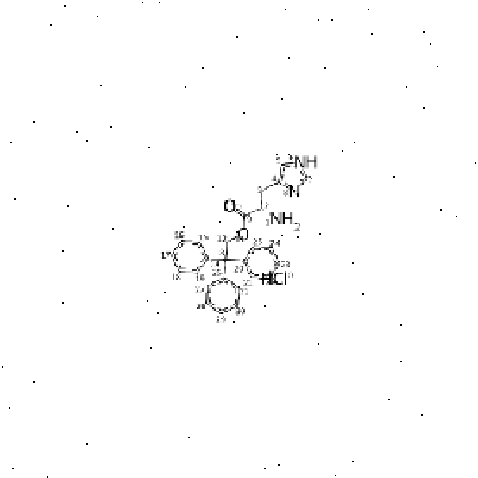 Cl.N[C@@H](Cc1c[nH]cn1)C(=O)OCC(c1ccccc1)(c1ccccc1)c1ccccc1